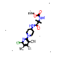 CCc1c(C#N)c(Cl)nc(N2CCC(NC(=O)C(C)(C)NC(=O)OC(C)(C)C)CC2)c1C#N